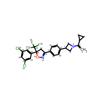 C=C(C1CC1)N1CC(c2ccc(C3=NOC(c4cc(Cl)cc(Cl)c4)(C(F)(F)F)C3)cc2)C1